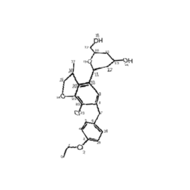 CCOc1ccc(Cc2cc(C3CC(O)CC(CO)O3)c3c(c2Cl)OCC3C)cc1